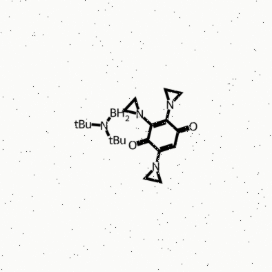 BN(C(C)(C)C)C(C)(C)C.O=C1C=C(N2CC2)C(=O)C(N2CC2)=C1N1CC1